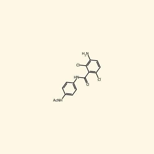 CC(=O)Nc1ccc(NC(=O)c2c(Cl)ccc(N)c2Cl)cc1